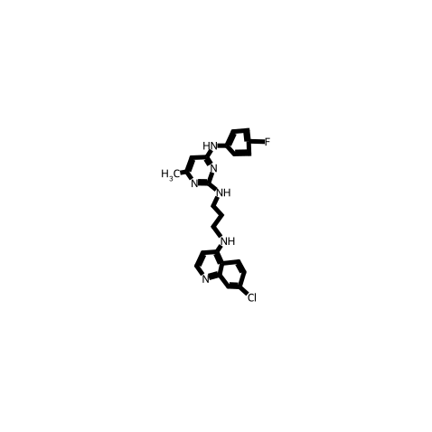 Cc1cc(Nc2ccc(F)cc2)nc(NCCCNc2ccnc3cc(Cl)ccc23)n1